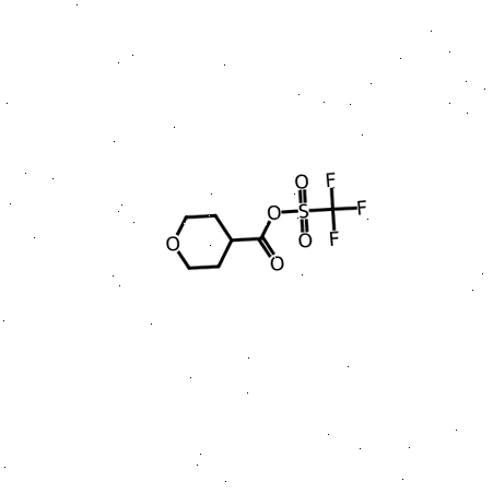 O=C(OS(=O)(=O)C(F)(F)F)C1CCOCC1